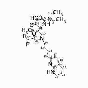 CCN(CC)C(=O)N[C@@H](CCN(CCCCc1ccc2c(n1)NCCC2)CC(OC)C(F)F)C(=O)O